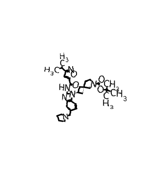 CC(C)c1cc(C(=O)Nc2nc3cc(CN4CCCC4)ccc3n2[C@H]2C[C@@]3(CCN(C(=O)OC(C)(C)C)C3)C2)on1